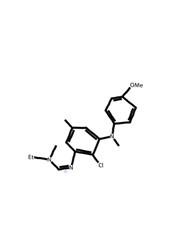 CCN(C)/C=N\c1cc(C)cc(N(C)c2ccc(OC)cc2)c1Cl